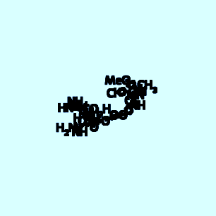 COc1ccc2c(c1)C(c1ccc(Cl)cc1)=N[C@@H](CC(=O)Nc1ccc(OCCOCCOCCNC(=O)C(CCCNC(=N)N)NC(=O)C(CCCNC(=N)N)NC(=O)O)cc1)c1nnc(C)n1-2